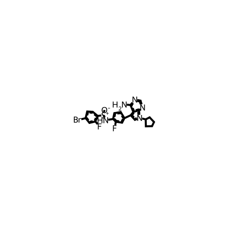 Nc1ncnc2c1c(-c1ccc(N[S+]([O-])c3ccc(Br)cc3F)c(F)c1)cn2C1CCCC1